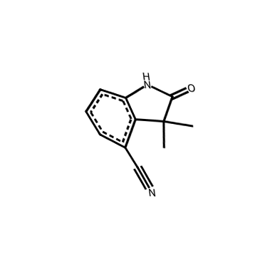 CC1(C)C(=O)Nc2cccc(C#N)c21